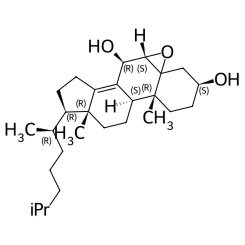 CC(C)CCC[C@@H](C)[C@H]1CCC2=C3[C@@H](O)[C@@H]4OC45C[C@@H](O)CC[C@]5(C)[C@H]3CC[C@@]21C